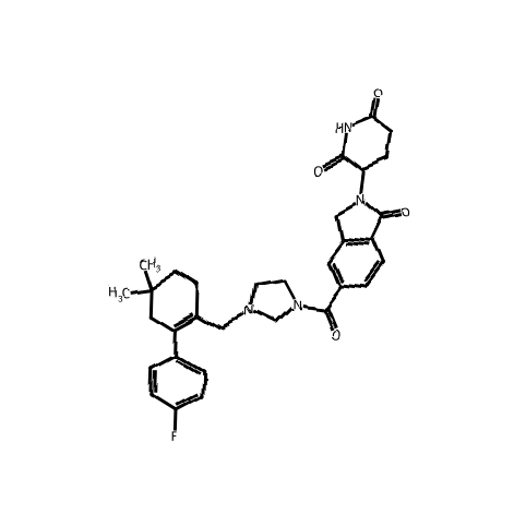 CC1(C)CCC(CN2CCN(C(=O)c3ccc4c(c3)CN(C3CCC(=O)NC3=O)C4=O)C2)=C(c2ccc(F)cc2)C1